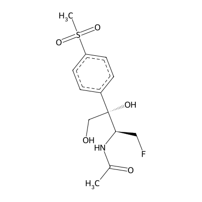 CC(=O)N[C@H](CF)[C@@](O)(CO)c1ccc(S(C)(=O)=O)cc1